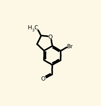 CC1Cc2cc(C=O)cc(Br)c2O1